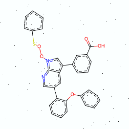 O=C(O)c1cccc(-c2cn(OOSc3ccccc3)c3ncc(-c4ccccc4Oc4ccccc4)cc23)c1